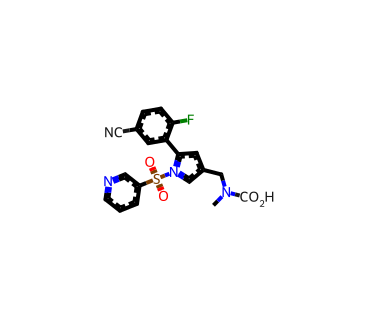 CN(Cc1cc(-c2cc(C#N)ccc2F)n(S(=O)(=O)c2cccnc2)c1)C(=O)O